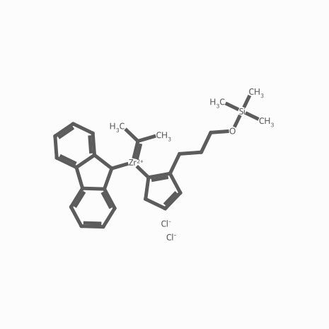 C[C](C)=[Zr+2]([C]1=C(CCCO[Si](C)(C)C)C=CC1)[CH]1c2ccccc2-c2ccccc21.[Cl-].[Cl-]